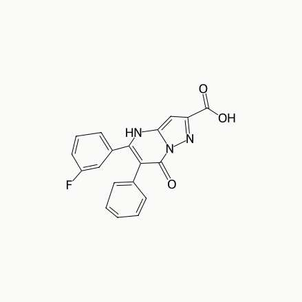 O=C(O)c1cc2[nH]c(-c3cccc(F)c3)c(-c3ccccc3)c(=O)n2n1